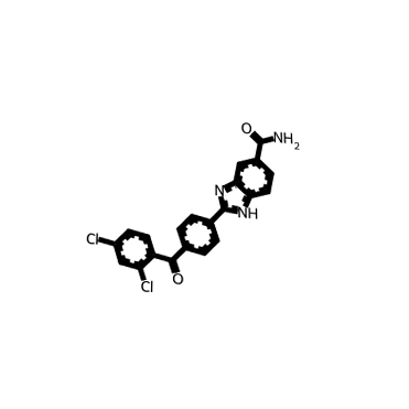 NC(=O)c1ccc2[nH]c(-c3ccc(C(=O)c4ccc(Cl)cc4Cl)cc3)nc2c1